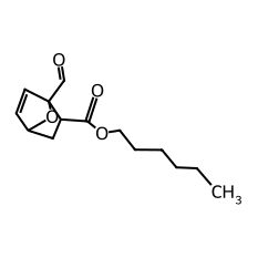 CCCCCCOC(=O)C1CC2C=CC1(C=O)O2